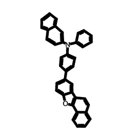 c1ccc(N(c2ccc(-c3ccc4oc5c6ccccc6ccc5c4c3)cc2)c2ccc3ccccc3c2)cc1